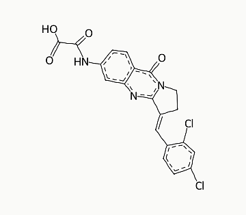 O=C(O)C(=O)Nc1ccc2c(=O)n3c(nc2c1)C(=Cc1ccc(Cl)cc1Cl)CC3